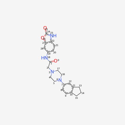 O=C(CN1CCN(c2ccc3c(c2)CCC3)CC1)Nc1ccc2[nH]c(=O)oc2c1